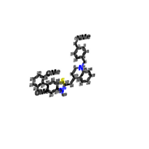 CNCc1ccc(CN2C=CC(=Cc3sc4cc(-c5c(OC)cccc5OC)ccc4[n+]3C)c3ccccc32)cc1